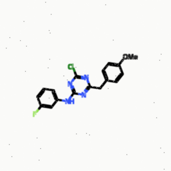 COc1ccc(Cc2nc(Cl)nc(Nc3cccc(F)c3)n2)cc1